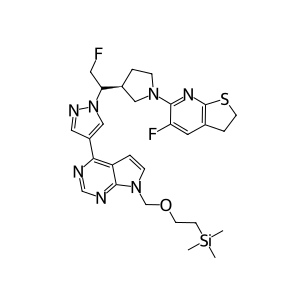 C[Si](C)(C)CCOCn1ccc2c(-c3cnn(C(CF)[C@H]4CCN(c5nc6c(cc5F)CCS6)C4)c3)ncnc21